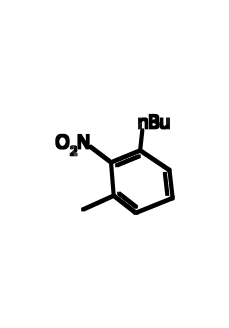 CCCCc1cccc(C)c1[N+](=O)[O-]